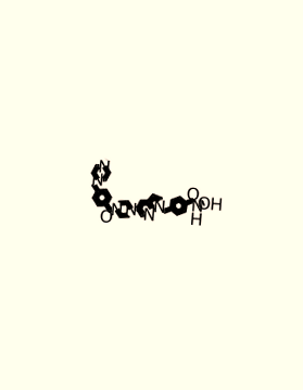 CN1CCN(Cc2ccc(C(=O)N3CCN(c4cnc5c(ccn5Cc5ccc(C(=O)NO)cc5)c4)CC3)cc2)CC1